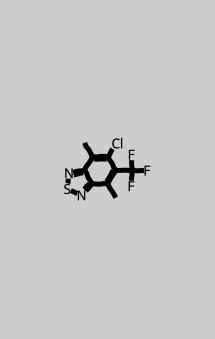 Cc1c(Cl)c(C(F)(F)F)c(C)c2nsnc12